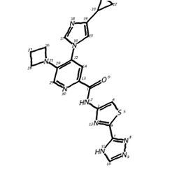 O=C(Nc1csc(-c2nnc[nH]2)n1)c1cc(-n2cnc(C3CC3)c2)c(N2CCC2)cn1